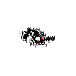 CC[C@H]1OC(=O)[C@H](C)C(=O)[C@H](C)[C@@H](O[C@@H]2O[C@H](C)C[C@H](N(C)CCc3cn([C@H](CO)[C@H](O)c4ccc([N+](=O)[O-])cc4)nn3)[C@H]2O)[C@](C)(OC)C[C@@H](C)C(=O)[C@H](C)[C@H]2N(CCCCn3cnc(-c4cccnc4)c3)C(=O)O[C@]12C